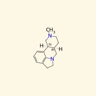 CN1CC[C@H]2CN3CCc4cccc(c43)[C@H]2C1